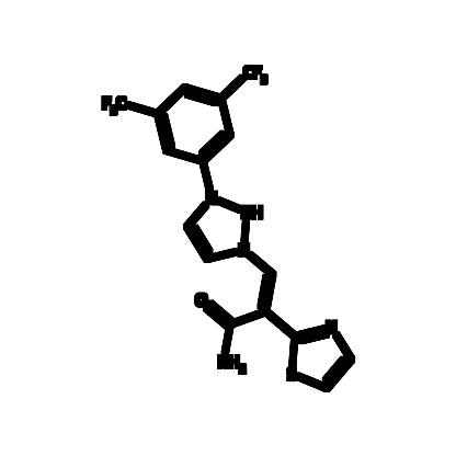 NC(=O)/C(=C\N1C=CN(c2cc(C(F)(F)F)cc(C(F)(F)F)c2)N1)c1nccs1